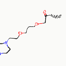 CNC(=O)COCCCOCCN1CCN(C)CC1